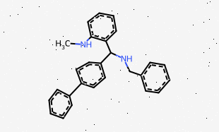 CNc1ccccc1C(NCc1ccccc1)c1ccc(-c2ccccc2)cc1